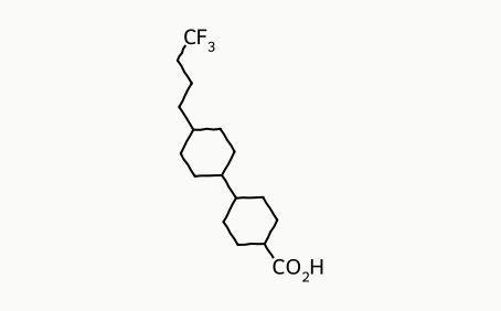 O=C(O)C1CCC(C2CCC(CCCC(F)(F)F)CC2)CC1